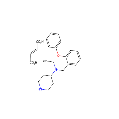 CC(C)CN(Cc1ccccc1Oc1ccccc1)C1CCNCC1.O=C(O)C=CC(=O)O